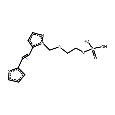 O=P(O)(O)OCCOCn1nccc1/C=C/c1cccs1